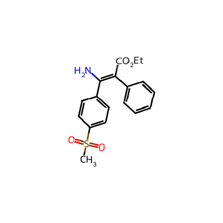 CCOC(=O)C(=C(N)c1ccc(S(C)(=O)=O)cc1)c1ccccc1